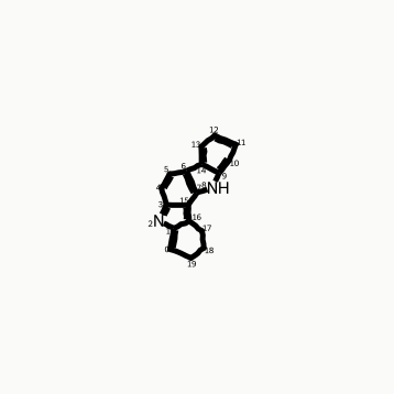 C1=C2N=c3ccc4c([nH]c5ccccc54)c3=C2CCC1